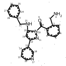 NCc1ccccc1C(=O)n1nc(-c2cccnc2)cc1NCc1ccccc1